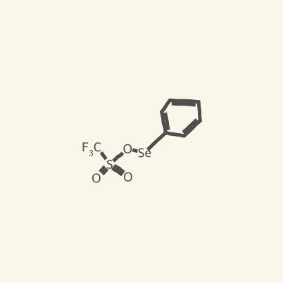 O=S(=O)(O[Se]c1ccccc1)C(F)(F)F